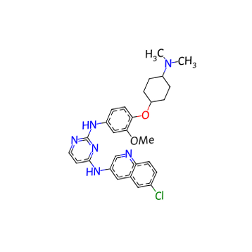 COc1cc(Nc2nccc(Nc3cnc4ccc(Cl)cc4c3)n2)ccc1OC1CCC(N(C)C)CC1